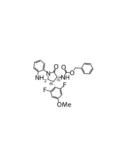 COc1cc(F)c([C@@H]2CN(c3ccccc3N)C(=O)[C@H]2NC(=O)OCc2ccccc2)c(F)c1